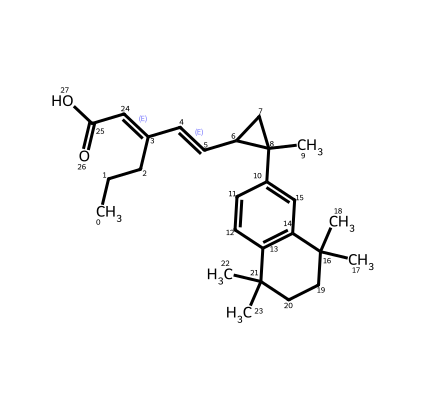 CCCC(/C=C/C1CC1(C)c1ccc2c(c1)C(C)(C)CCC2(C)C)=C\C(=O)O